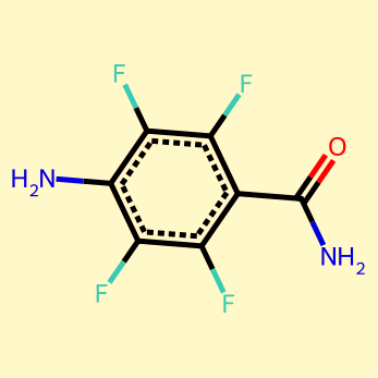 NC(=O)c1c(F)c(F)c(N)c(F)c1F